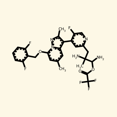 Cc1cc(OCc2c(F)cccc2F)n2nc(C)c(-c3cc(CC(C)(N)C(N)OC(=O)C(F)(F)F)ncc3F)c2c1